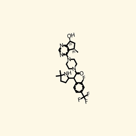 C[C@@H]1C[C@H](O)c2ncnc(N3CCN(C(=O)C(c4ccc(C(F)(F)F)cc4F)C4CCC(C)(C)N4)CC3)c21